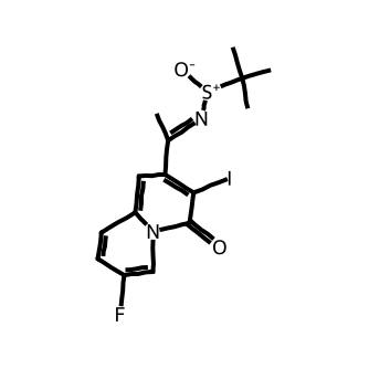 C/C(=N\[S+]([O-])C(C)(C)C)c1cc2ccc(F)cn2c(=O)c1I